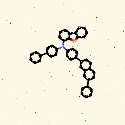 c1ccc(-c2ccc(N(c3ccc(-c4ccc5ccc(-c6ccccc6)cc5c4)cc3)c3cccc4c3oc3ccccc34)cc2)cc1